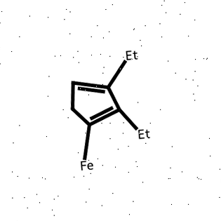 CCC1=CC[C]([Fe])=C1CC